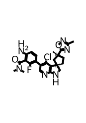 Cc1noc([C@]2(C)CC[C@]3(CNc4ncc(-c5ccc(N)c(C(=O)N(C)C)c5F)c(Cl)c43)C2)n1